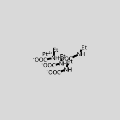 CCNC(=O)[O-].CCNC(=O)[O-].CCNC(=O)[O-].CCNC(=O)[O-].[Pt+4]